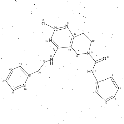 O=C(Nc1ccccc1)N1CCc2nc(Cl)nc(NCCc3ccccn3)c2C1